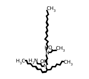 CCCCC/C=C/C/C=C\C(CCCCCCC)N(CCCCN(CCCCCC/C=C/C/C=C/CCCCC)CC(O)CC)CC(O)CN